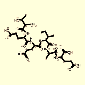 CCC(C)C(NC(=O)C(CCC(=O)O)NC(=O)C(CCC(=O)O)NC(=O)C(N)C(C)O)C(=O)NC(C)C(=O)NC(CCC(=O)O)C(=O)O